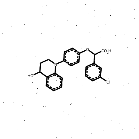 O=C(O)C(Oc1ccc(N2CCC(O)c3ccccc32)cc1)c1cccc(Cl)c1